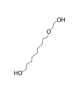 OCCCCCCCCCOCCO